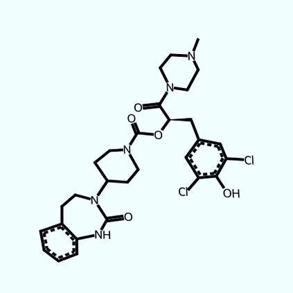 CN1CCN(C(=O)[C@@H](Cc2cc(Cl)c(O)c(Cl)c2)OC(=O)N2CCC(N3CCc4ccccc4NC3=O)CC2)CC1